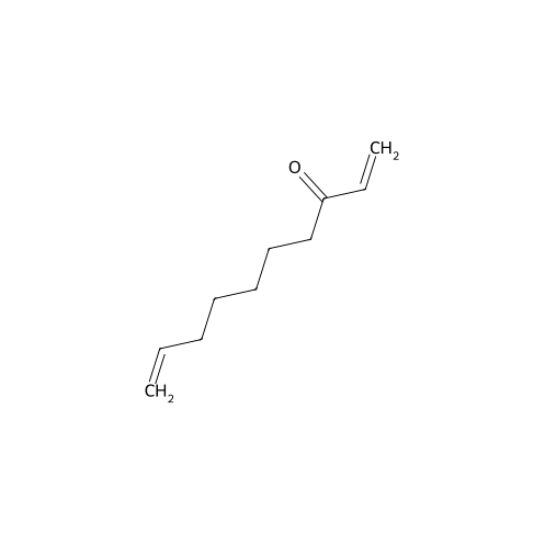 C=CCCCCCC(=O)C=C